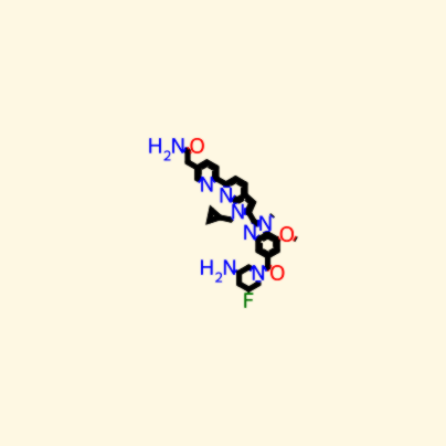 COc1cc(C(=O)N2C[C@H](N)C[C@@H](F)C2)cc2nc(-c3cc4ccc(-c5ccc(CC(N)=O)cn5)nc4n3CC3CC3)n(C)c12